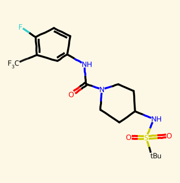 CC(C)(C)S(=O)(=O)NC1CCN(C(=O)Nc2ccc(F)c(C(F)(F)F)c2)CC1